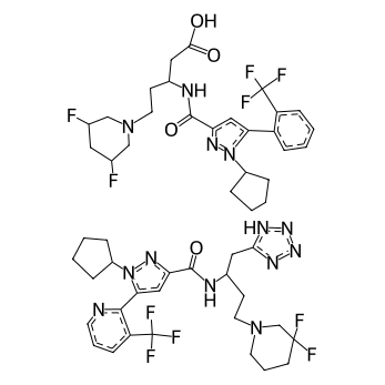 O=C(NC(CCN1CCCC(F)(F)C1)Cc1nnn[nH]1)c1cc(-c2ncccc2C(F)(F)F)n(C2CCCC2)n1.O=C(O)CC(CCN1CC(F)CC(F)C1)NC(=O)c1cc(-c2ccccc2C(F)(F)F)n(C2CCCC2)n1